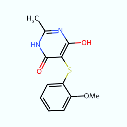 COc1ccccc1Sc1c(O)nc(C)[nH]c1=O